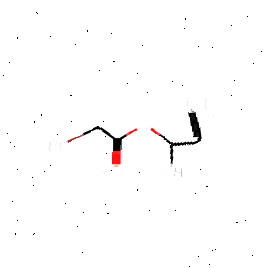 C=CC(C)OC(=O)CBr